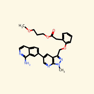 COCCCOC(=O)Cc1ccccc1OCc1nn(C)c2ncc(-c3ccc4ccnc(N)c4c3)cc12